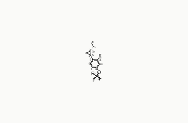 CC[C@H]1C[C@@H]1c1ccc(OC(F)(F)F)cc1F